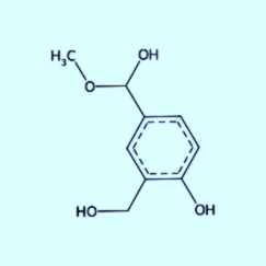 COC(O)c1ccc(O)c(CO)c1